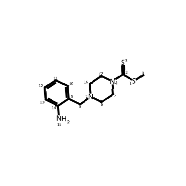 CSC(=S)N1CCN(Cc2ccccc2N)CC1